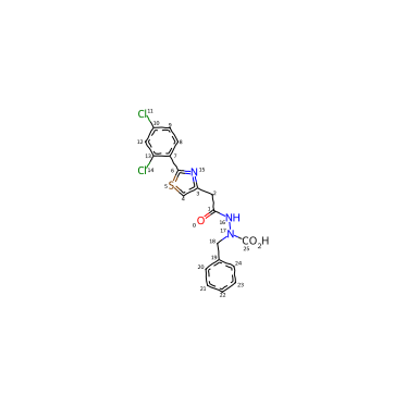 O=C(Cc1csc(-c2ccc(Cl)cc2Cl)n1)NN(Cc1ccccc1)C(=O)O